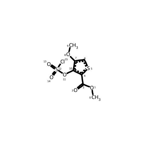 COC(=O)c1scc(OC)c1OS(=O)(=O)Cl